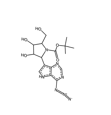 CC(C)(C)OC(=O)N1C(CO)C(O)C(O)C1c1c[nH]c2c(N=[N+]=[N-])ncnc12